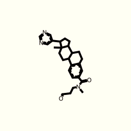 CN(CCC=O)C(=O)c1ccc2c(c1)CCC1C2CCC2(C)C(c3cncnc3)CCC12